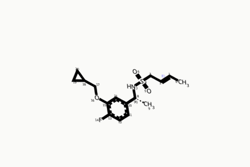 C/C=C/CS(=O)(=O)N[C@H](C)c1ccc(F)c(OCC2CC2)c1